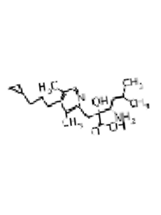 Cc1cnc(C[C@](O)(C(=O)O)[C@@H](N)CC(C)C)c(C)c1CCCC1CC1